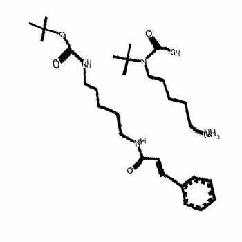 CC(C)(C)N(CCCCCN)C(=O)O.CC(C)(C)OC(=O)NCCCCCNC(=O)C=Cc1ccccc1